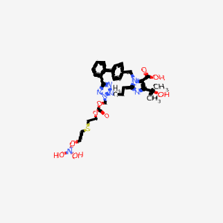 CCCc1nc(C(C)(C)O)c(C(=O)O)n1Cc1ccc(-c2ccccc2-c2nnn(COC(=O)OCCSCCON(O)O)n2)cc1